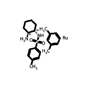 Cc1ccc(S(=O)(=O)N[C@H]2CCCC[C@@H]2N)cc1.Cc1cccc(C)c1.[Ru]